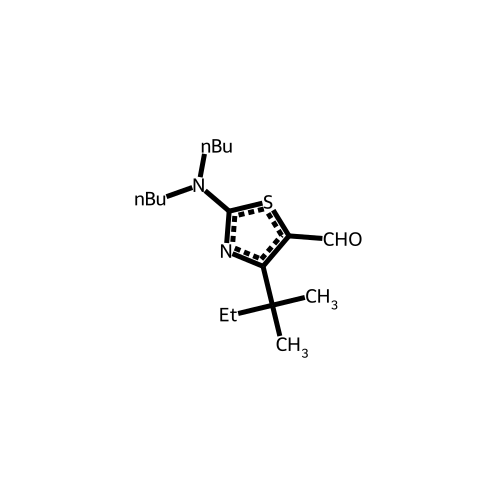 CCCCN(CCCC)c1nc(C(C)(C)CC)c(C=O)s1